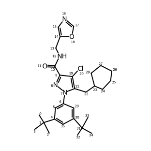 CC(C)(C)c1cc(-n2nc(C(=O)NCc3cnco3)c(Cl)c2CC2CCCCC2)cc(C(C)(C)C)c1